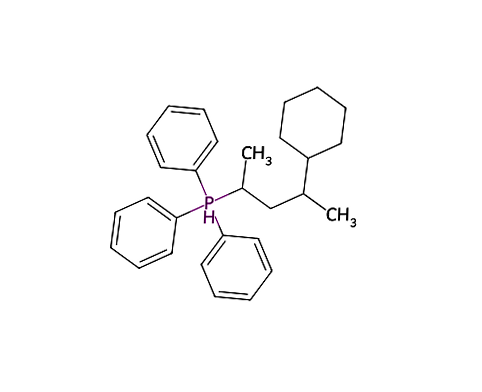 CC(CC(C)[PH](c1ccccc1)(c1ccccc1)c1ccccc1)C1CCCCC1